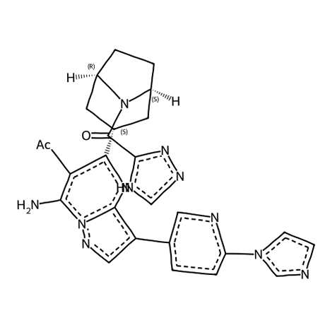 CC(=O)c1c([C@@H]2C[C@H]3CC[C@@H](C2)N3C(=O)c2nnc[nH]2)nc2c(-c3ccc(-n4ccnc4)nc3)cnn2c1N